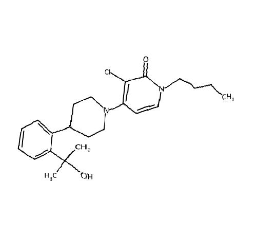 CCCCn1ccc(N2CCC(c3ccccc3C(C)(C)O)CC2)c(Cl)c1=O